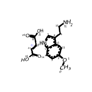 COc1ccc2[nH]cc(CCN)c2c1.O=C(O)/C=C/C(=O)O